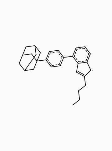 CCCCC1=Cc2c(cccc2-c2ccc(C34CC5CC(CC(C5)C3)C4)cc2)[CH]1